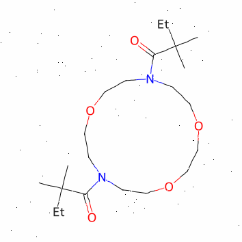 CCC(C)(C)C(=O)N1CCOCCOCCN(C(=O)C(C)(C)CC)CCOCC1